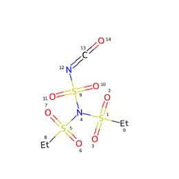 CCS(=O)(=O)N(S(=O)(=O)CC)S(=O)(=O)N=C=O